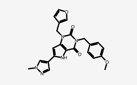 COc1ccc(Cn2c(=O)c3[nH]c(-c4cnn(C)c4)cc3n(Cc3ccoc3)c2=O)cc1